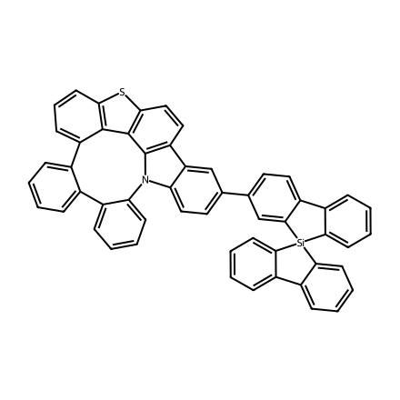 c1ccc2c(c1)-c1ccccc1[Si]21c2ccccc2-c2ccc(-c3ccc4c(c3)c3ccc5sc6cccc7c8ccccc8c8ccccc8n4c3c5c67)cc21